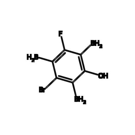 Bc1c(O)c(B)c(Br)c(B)c1F